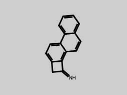 N=C1Cc2ccc3c(ccc4ccccc43)c21